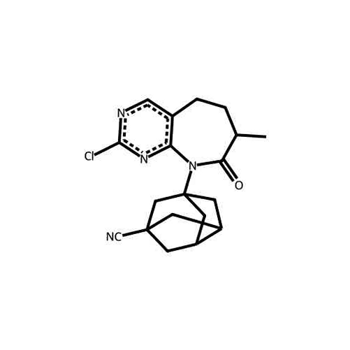 CC1CCc2cnc(Cl)nc2N(C23CC4CC(C#N)(CC4C2)C3)C1=O